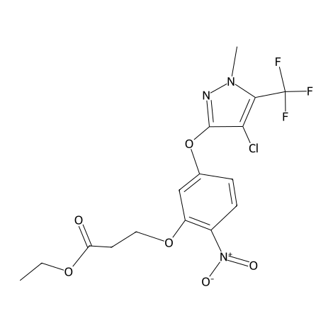 CCOC(=O)CCOc1cc(Oc2nn(C)c(C(F)(F)F)c2Cl)ccc1[N+](=O)[O-]